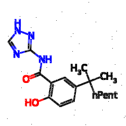 CCCCCC(C)(C)c1ccc(O)c(C(=O)Nc2nc[nH]n2)c1